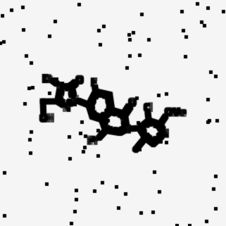 CCn1c(CO)nn(-c2cc3c(C(C)C)cn(-c4c(C)cnc(OC)c4Cl)c(=O)c3cc2F)c1=O